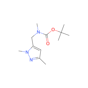 Cc1cc(CN(C)C(=O)OC(C)(C)C)n(C)n1